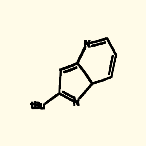 CC(C)(C)C1=NC2C=CC=NC2=C1